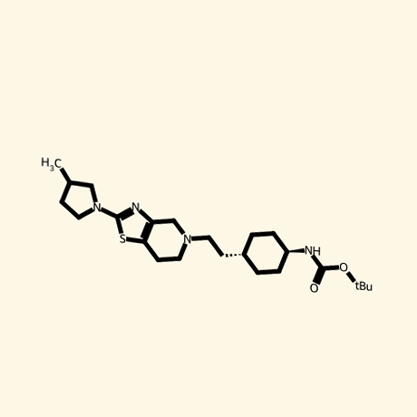 CC1CCN(c2nc3c(s2)CCN(CC[C@H]2CC[C@H](NC(=O)OC(C)(C)C)CC2)C3)C1